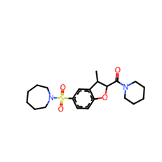 CC1c2cc(S(=O)(=O)N3CCCCCC3)ccc2OC1C(=O)N1CCCCC1